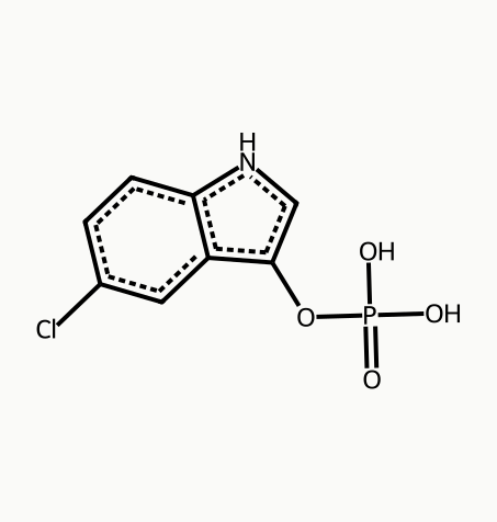 O=P(O)(O)Oc1c[nH]c2ccc(Cl)cc12